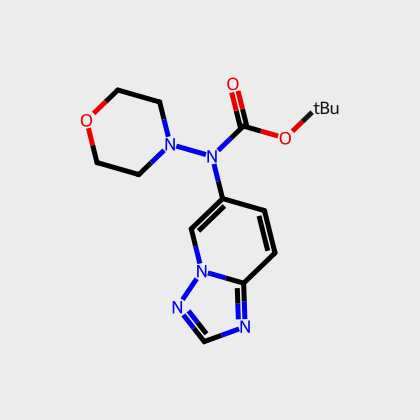 CC(C)(C)OC(=O)N(c1ccc2ncnn2c1)N1CCOCC1